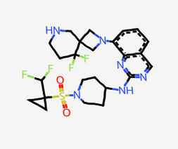 O=S(=O)(N1CCC(Nc2ncc3cccc(N4CC5(CNCCC5(F)F)C4)c3n2)CC1)C1(C(F)F)CC1